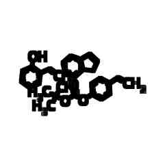 C1=Cc2ccccc2C1.C=Cc1ccc(OC(=O)OC(C)(C)C)cc1.C=Cc1ccccc1O